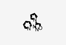 c1ccn(-c2conn2)c1.c1ccncc1